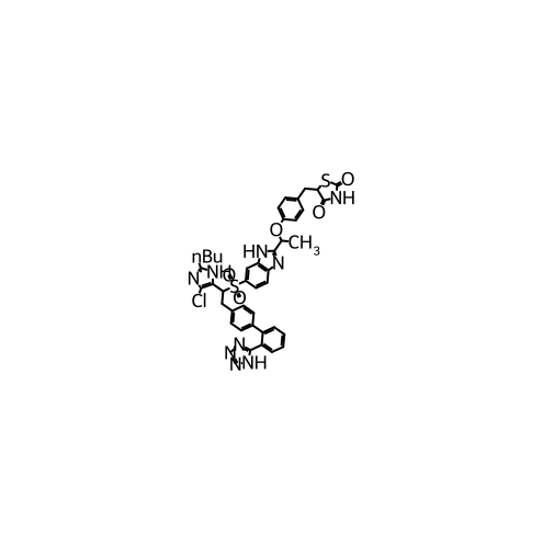 CCCCc1nc(Cl)c(C(Cc2ccc(-c3ccccc3-c3nnn[nH]3)cc2)S(=O)(=O)c2ccc3nc(C(C)Oc4ccc(CC5SC(=O)NC5=O)cc4)[nH]c3c2)[nH]1